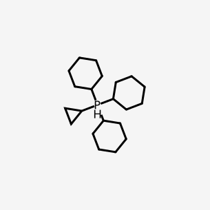 C1CCC([PH](C2CCCCC2)(C2CCCCC2)C2CC2)CC1